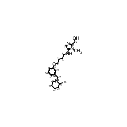 Cn1c(CO)nnc1NCCCCOc1cccc(CN2CCCCC2I)c1